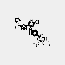 CC(C)(C)OC(=O)c1ccc(Nc2cc(Cl)ncc2-c2nnc(C(=O)N3CCCC3)s2)cc1